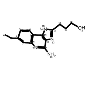 CCc1ccc2c(c1)nc(N)c1nc(CCCO)[nH]c12